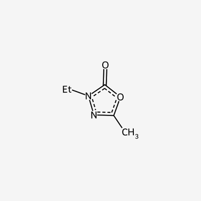 CCn1nc(C)oc1=O